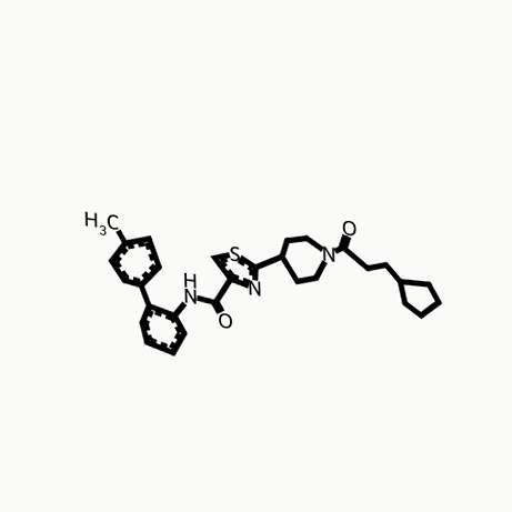 Cc1ccc(-c2ccccc2NC(=O)c2csc(C3CCN(C(=O)CCC4CCCC4)CC3)n2)cc1